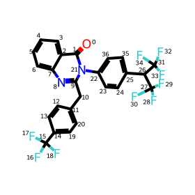 O=c1c2ccccc2nc(Cc2ccc(C(F)(F)F)cc2)n1-c1ccc(C(C(F)(F)F)C(F)(F)F)cc1